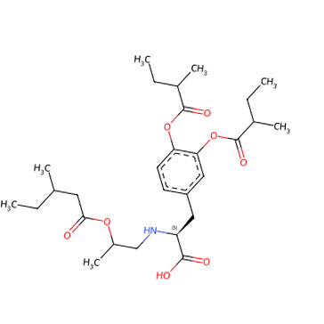 CCC(C)CC(=O)OC(C)CN[C@@H](Cc1ccc(OC(=O)C(C)CC)c(OC(=O)C(C)CC)c1)C(=O)O